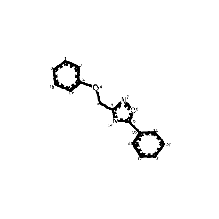 [c]1ccc(OCc2noc(-c3ccccc3)n2)cc1